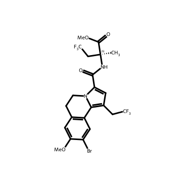 COC(=O)[C@](C)(CC(F)(F)F)NC(=O)c1cc(CC(F)(F)F)c2n1CCc1cc(OC)c(Br)cc1-2